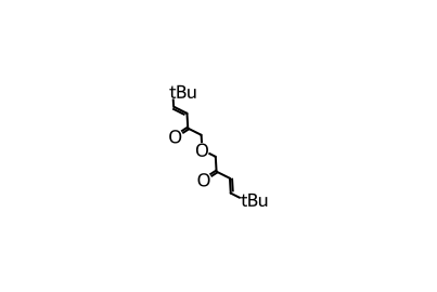 CC(C)(C)C=CC(=O)COCC(=O)C=CC(C)(C)C